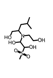 CC(C)CC(CO)N(CCO)C(O)C(O)S(C)(=O)=O